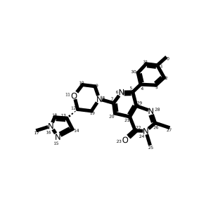 Cc1ccc(-c2nc(N3CCO[C@@H](c4cnn(C)c4)C3)cc3c(=O)n(C)c(C)nc23)cc1